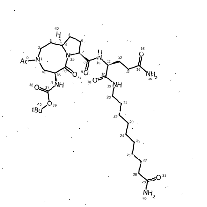 CC(=O)N1CC[C@H]2CC[C@@H](C(=O)N[C@@H](CCC(N)=O)C(=O)NCCCCCCCCCC(N)=O)N2C(=O)[C@@H](NC(=O)OC(C)(C)C)C1